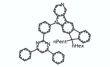 CCCCCCC1(CCCCC)c2ccccc2-c2cc3c4cnccc4n(-c4cccc(-c5nc(-c6ccccc6)cc(-c6ccccc6)n5)c4)c3cc21